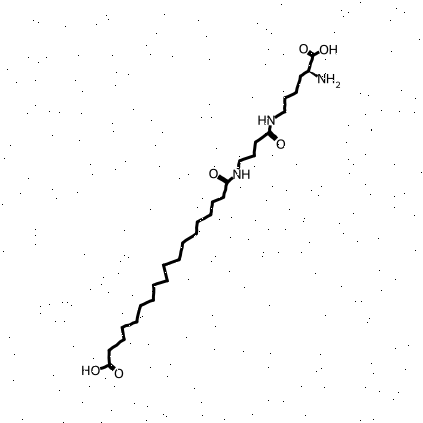 N[C@@H](CCCCNC(=O)CCCNC(=O)CCCCCCCCCCCCCCCCC(=O)O)C(=O)O